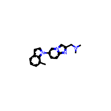 Cc1cccc2ccn(-c3ccc4nc(CN(C)C)cn4c3)c12